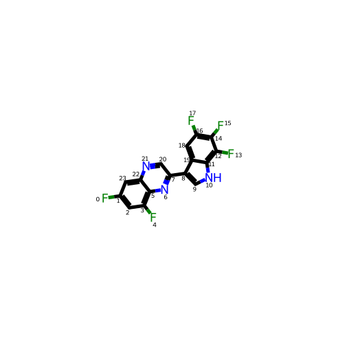 Fc1cc(F)c2nc(-c3c[nH]c4c(F)c(F)c(F)cc34)cnc2c1